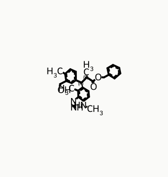 CNc1ccc([C@@H](c2ccc(C)c(CO)c2)[C@@H](C)C(=O)OCc2ccccc2)c(C)c1N=N